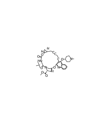 COC(=O)[C@@H]1C[C@@H]2CN1C(=O)[C@H](C(C)(C)C)NC(=O)O[C@@H]1C[C@H]1CCCCCc1c(nc3ccccc3c1OC1CCN(C)CC1)O2